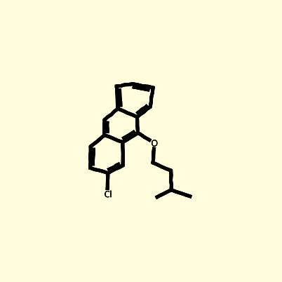 CC(C)CCOc1c2ccccc2cc2ccc(Cl)cc12